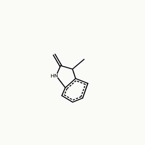 C=C1Nc2ccccc2C1C